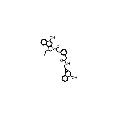 O=C(Cc1cccc(CC(=O)N2CC(CCl)c3c2cc(O)c2ccccc32)c1)NCC1c2cc(O)c3ccccc3c21